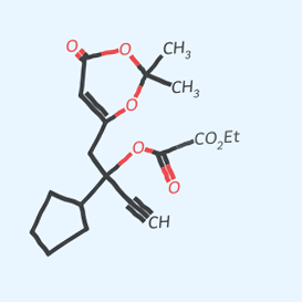 C#CC(CC1=CC(=O)OC(C)(C)O1)(OC(=O)C(=O)OCC)C1CCCC1